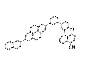 N#Cc1ccc2c3c(cccc13)-c1cc(-c3cccc(-c4cc5ccc6cc(-c7ccc8ccccc8c7)cc7ccc(c4)c5c67)c3)ccc1O2